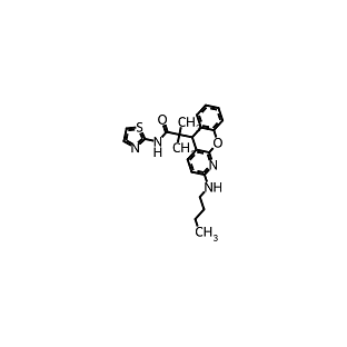 CCCCNc1ccc2c(n1)Oc1ccccc1C2C(C)(C)C(=O)Nc1nccs1